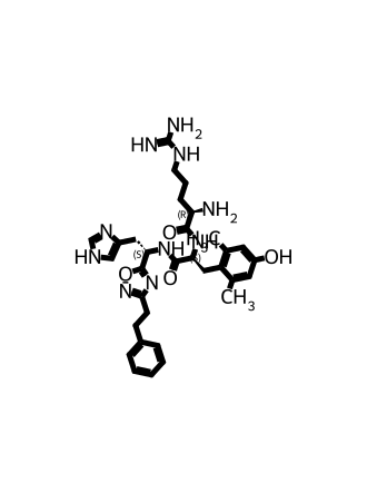 Cc1cc(O)cc(C)c1C[C@H](NC(=O)[C@H](N)CCCNC(=N)N)C(=O)N[C@@H](Cc1c[nH]cn1)c1nc(CCc2ccccc2)no1